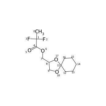 CC(F)(F)C(=O)OCC1COC2(CCCCC2)O1